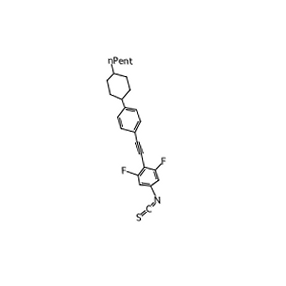 CCCCCC1CCC(c2ccc(C#Cc3c(F)cc(N=C=S)cc3F)cc2)CC1